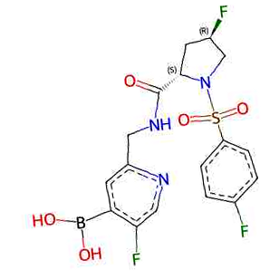 O=C(NCc1cc(B(O)O)c(F)cn1)[C@@H]1C[C@@H](F)CN1S(=O)(=O)c1ccc(F)cc1